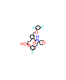 O=C(O)CCc1ccc(COc2cc(F)ccc2F)cc1C(=O)NC1(CCc2cccc(F)c2)CCOCC1